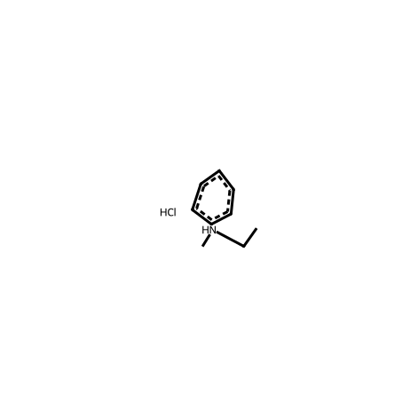 CCNC.Cl.c1ccccc1